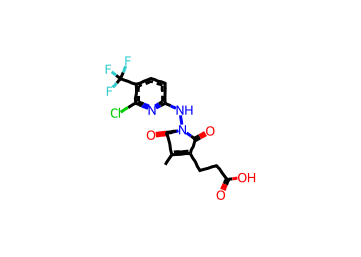 CC1=C(CCC(=O)O)C(=O)N(Nc2ccc(C(F)(F)F)c(Cl)n2)C1=O